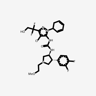 COCCN1C[C@@H](NC(=O)Nc2c(Cl)c(C(F)(F)CO)nn2C2C=CC=CC2)[C@H](c2ccc(F)c(F)c2)C1